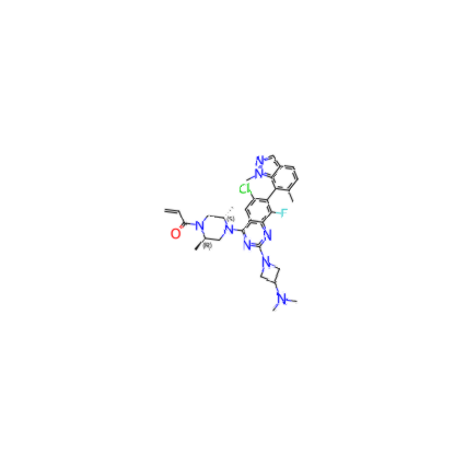 C=CC(=O)N1C[C@H](C)N(c2nc(N3CC(N(C)C)C3)nc3c(F)c(-c4c(C)ccc5cnn(C)c45)c(Cl)cc23)C[C@H]1C